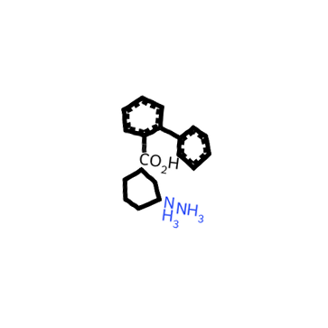 C1CCCCC1.N.N.O=C(O)c1ccccc1-c1ccccc1